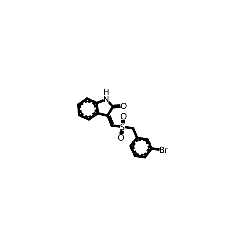 O=C1Nc2ccccc2C1=CS(=O)(=O)Cc1cccc(Br)c1